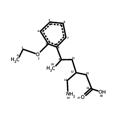 CCOc1ccccc1C(C)CC(CN)CC(=O)O